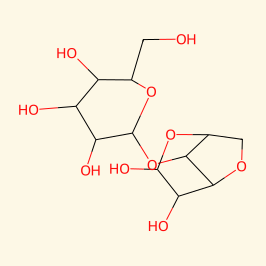 OCC1OC(OC2C3COC2C(O)C(O)O3)C(O)C(O)C1O